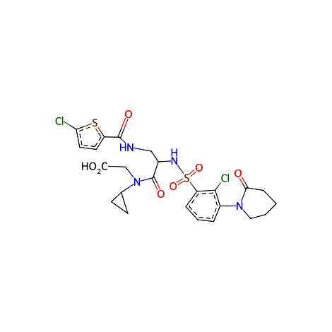 O=C(O)CN(C(=O)C(CNC(=O)c1ccc(Cl)s1)NS(=O)(=O)c1cccc(N2CCCCC2=O)c1Cl)C1CC1